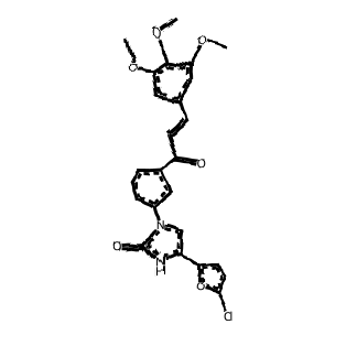 COc1cc(/C=C/C(=O)c2cccc(-n3cc(-c4ccc(Cl)o4)[nH]c3=O)c2)cc(OC)c1OC